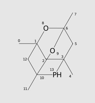 CC12CC3(C)CC(C)(O1)OC(C)(C2)P3